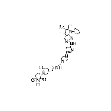 CC(=O)c1c(C)c2cnc(Nc3ccc(N4CCN(CCNc5ccc6c(c5)CN(C5CCC(=O)NC5=O)C6=O)CC4)cn3)nc2n(C2CCCC2)c1=O